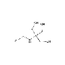 CC(C)CNC(CO)(CO)CO